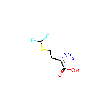 N[C@@H](CCSC(F)F)C(=O)O